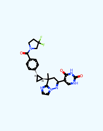 CC1([C@H]2C[C@@H]2c2ccc(C(=O)N3CCC(F)(F)C3)cc2)CC(c2c[nH]c(=O)[nH]c2=O)=Nn2ccnc21